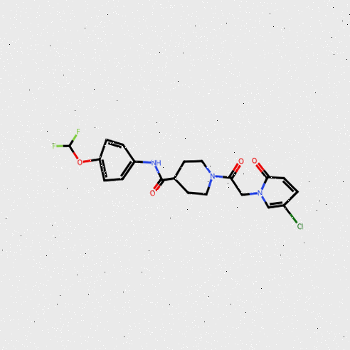 O=C(Nc1ccc(OC(F)F)cc1)C1CCN(C(=O)Cn2cc(Cl)ccc2=O)CC1